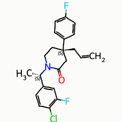 C=CC[C@]1(c2ccc(F)cc2)CCN([C@@H](C)c2ccc(Cl)c(F)c2)C(=O)C1